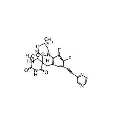 C[C@@H]1CN2c3c(cc(C#Cc4cnccn4)c(F)c3F)CC3(C(=O)NC(=O)NC3=O)[C@H]2[C@H](C)O1